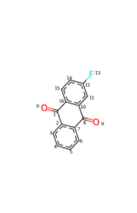 O=C1c2ccccc2C(=O)c2cc(F)ccc21